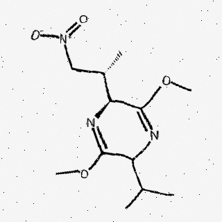 COC1=N[C@@H]([C@@H](C)C[N+](=O)[O-])C(OC)=NC1C(C)C